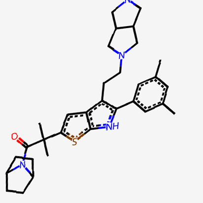 Cc1cc(C)cc(-c2[nH]c3sc(C(C)(C)C(=O)N4C5CCC4CC5)cc3c2CCN2CC3CNCC3C2)c1